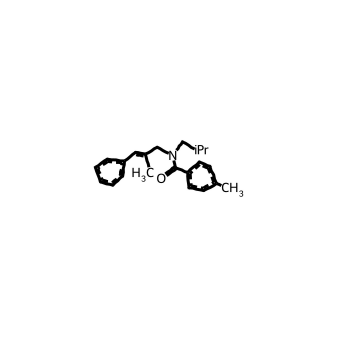 C/C(=C\c1ccccc1)CN(CC(C)C)C(=O)c1ccc(C)cc1